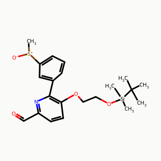 C[S+]([O-])c1cccc(-c2nc(C=O)ccc2OCCO[Si](C)(C)C(C)(C)C)c1